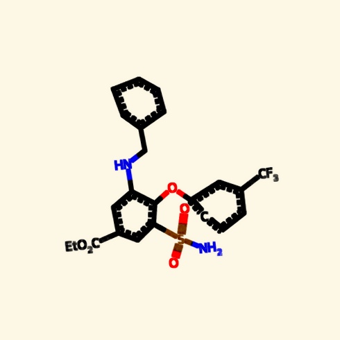 CCOC(=O)c1cc(NCc2ccccc2)c(Oc2cccc(C(F)(F)F)c2)c(S(N)(=O)=O)c1